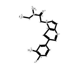 Cc1cc(-c2cnc3ccn(CC(=O)N(C)CC(F)(F)F)c3c2)ccc1F